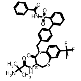 CC(C)(N)C(=O)N[C@@H]1CSc2cc(C(F)(F)F)ccc2N(Cc2ccc(-c3ccccc3S(=O)(=O)NC(=O)c3ccccc3)cc2)C1=O